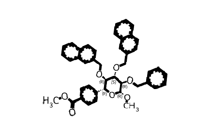 COC(=O)c1ccc([C@H]2O[C@@H](OC)[C@H](OCc3ccccc3)[C@@H](OCc3ccc4ccccc4c3)[C@@H]2OCc2ccc3ccccc3c2)cc1